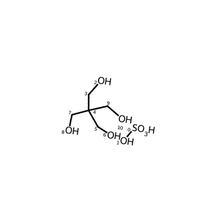 O=S(=O)(O)O.OCC(CO)(CO)CO